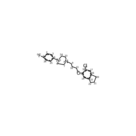 Fc1ccc(N2CCN(CCCOc3cc4c(cc3Cl)CCC4)CC2)cc1